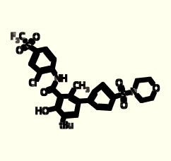 Cc1c(-c2ccc(S(=O)(=O)N3CCOCC3)cc2)cc(C(C)(C)C)c(O)c1C(=O)Nc1ccc(S(=O)(=O)C(F)(F)F)cc1Cl